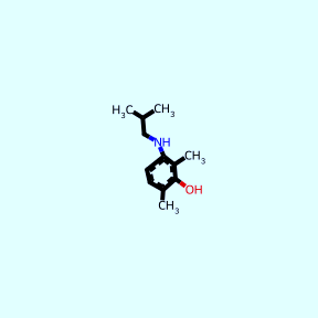 Cc1ccc(NCC(C)C)c(C)c1O